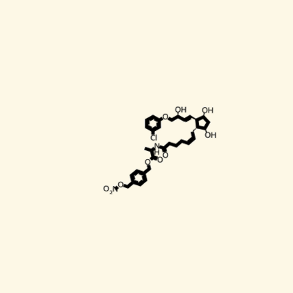 CC(NC(=O)CCC/C=C\C[C@@H]1[C@@H](/C=C/[C@@H](O)COc2cccc(Cl)c2)[C@H](O)C[C@@H]1O)C(=O)OCc1ccc(CO[N+](=O)[O-])cc1